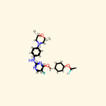 CC(F)O[C@H]1CC[C@H](COc2nc(Nc3ccc(N4C[C@@H](C)O[C@@H](C)C4)cc3)ncc2F)CC1